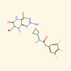 Cc1nc(N[C@H]2C[C@H](N(C)C(=O)Cc3cc(F)c(F)c(F)c3)C2)nc2c1NC(=O)C(C(C)C)N2C